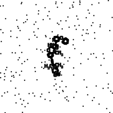 CN1C(=O)C(NC(=O)c2cc(Oc3ccccc3)ccn2)COc2ccc(C#CC(C)(C)N3CCS(=O)(=O)CC3)cc21